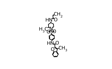 C=CC(=O)NC1CCN(S(=O)(=O)c2ccc(NC(=O)c3oc4ccccc4c3C)cc2)C(C)C1